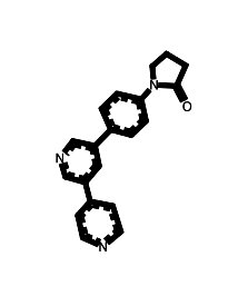 O=C1CCCN1c1ccc(-c2cncc(-c3ccncc3)c2)cc1